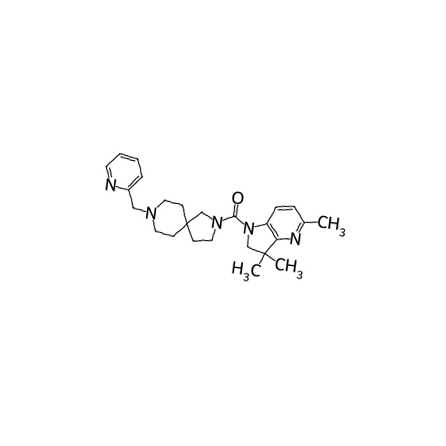 Cc1ccc2c(n1)C(C)(C)CN2C(=O)N1CCC2(CCN(Cc3ccccn3)CC2)C1